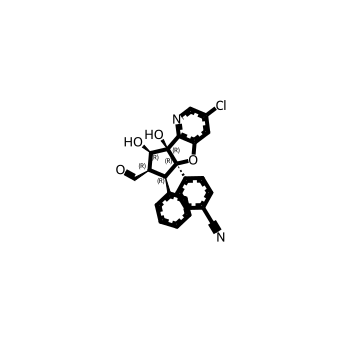 N#Cc1ccc([C@@]23Oc4cc(Cl)cnc4[C@@]2(O)[C@H](O)[C@H](C=O)[C@@H]3c2ccccc2)cc1